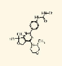 CCCC1(C)OCc2c(N3CCOCC3C)nc(-c3ccc(NC(=O)NCC)cc3)nc21